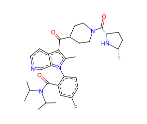 Cc1c(C(=O)C2CCN(C(=O)[C@@H]3CC[C@H](C)N3)CC2)c2ccncc2n1-c1ccc(F)cc1C(=O)N(C(C)C)C(C)C